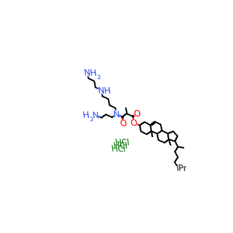 CC(C)CCCC(C)C1CCC2C3CC=C4CC(OC(=O)C(C)C(=O)N(CCCN)CCCCNCCCN)CCC4(C)C3CCC12C.Cl.Cl.Cl